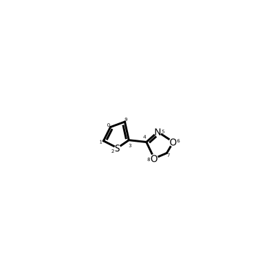 c1csc(C2=NOCO2)c1